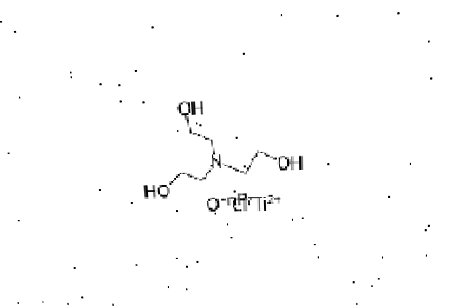 CCC[O-].OCCN(CCO)CCO.[Cl-].[Ti+2]